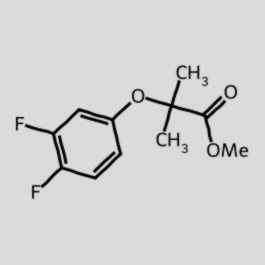 COC(=O)C(C)(C)Oc1ccc(F)c(F)c1